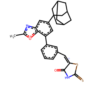 Cc1nc2cc(C34CC5CC(CC(C5)C3)C4)cc(-c3cccc(/C=C4/SC(=S)NC4=O)c3)c2o1